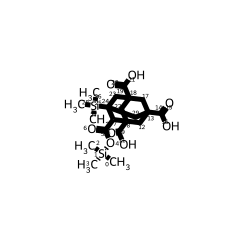 C[Si](C)(C)OC(=O)C1C2(C(=O)O)CC3(C(=O)O)CC(C(=O)O)(C2)CC1([Si](C)(C)C)C3